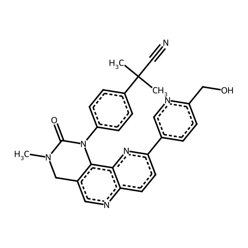 CN1Cc2cnc3ccc(-c4ccc(CO)nc4)nc3c2N(c2ccc(C(C)(C)C#N)cc2)C1=O